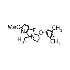 COc1ccc(F)c(C(C)N2CCCC(Oc3cc(C)nc(C)c3)C2)n1